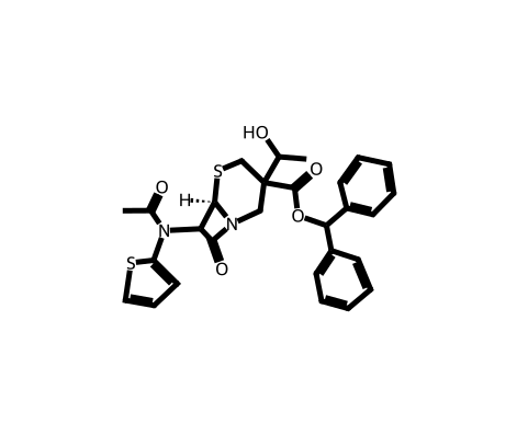 CC(=O)N(c1cccs1)C1C(=O)N2CC(C(=O)OC(c3ccccc3)c3ccccc3)(C(C)O)CS[C@H]12